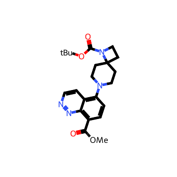 COC(=O)c1ccc(N2CCC3(CC2)CCN3C(=O)OC(C)(C)C)c2ccnnc12